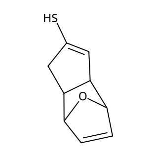 SC1=CC2C3C=CC(O3)C2C1